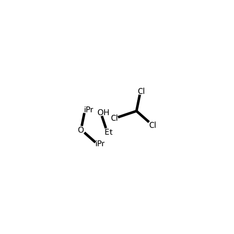 CC(C)OC(C)C.CCO.ClC(Cl)Cl